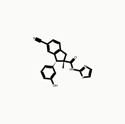 C[C@]1(C(=O)Nc2nccs2)Cc2ccc(C#N)cc2[C@H]1c1cccc(O)c1